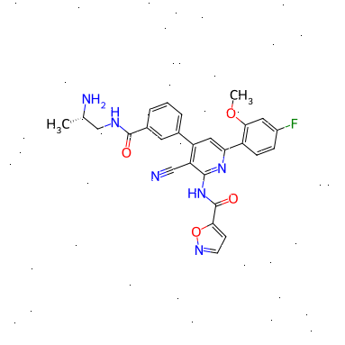 COc1cc(F)ccc1-c1cc(-c2cccc(C(=O)NC[C@H](C)N)c2)c(C#N)c(NC(=O)c2ccno2)n1